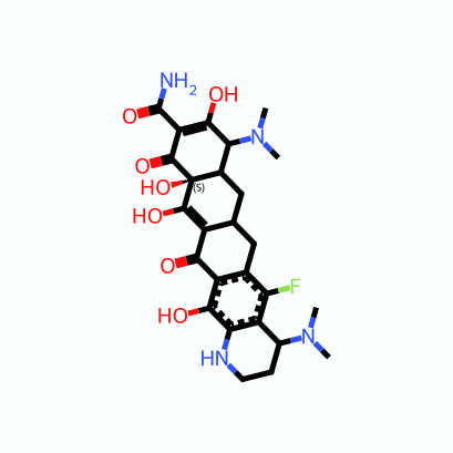 CN(C)C1CCNc2c(O)c3c(c(F)c21)CC1CC2C(N(C)C)C(O)=C(C(N)=O)C(=O)[C@@]2(O)C(O)=C1C3=O